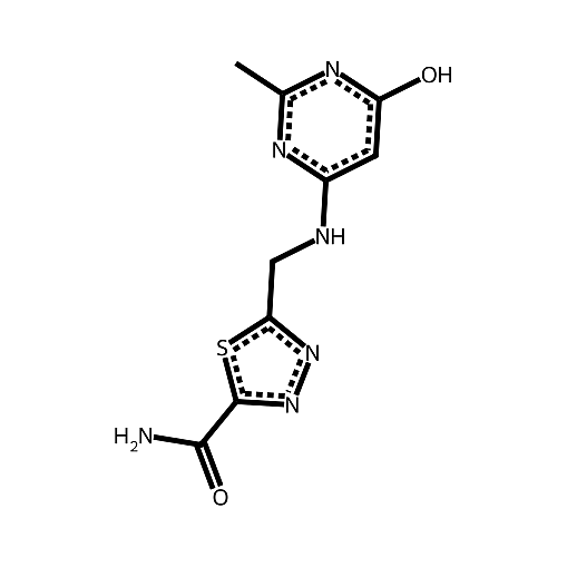 Cc1nc(O)cc(NCc2nnc(C(N)=O)s2)n1